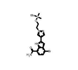 CC(C)(C)[Si](C)(C)OCCn1cc(-c2cc3c(Br)ccc(C(N)=O)c3[nH]2)cn1